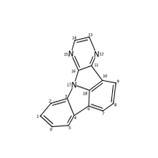 c1ccc2c(c1)c1cccc3c4nccnc4n2c13